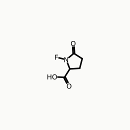 O=C(O)C1CCC(=O)N1F